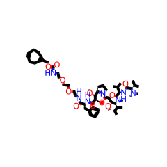 CCC(C)[C@@H](C(CC(=O)N1CCC[C@H]1[C@H](OC)[C@@H](C)C(=O)N[C@@H](Cc1ccccc1)C(=O)NCCOCCOCCNC(=O)OCC1C2CCC#CCCC21)OC)N(C)C(=O)[C@@H](NC(=O)[C@H](C(C)C)N(C)C)C(C)C